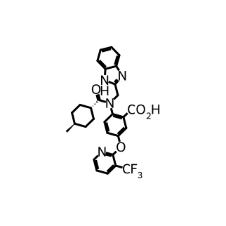 C[C@H]1CC[C@H](C(=O)N(Cc2nc3ccccc3[nH]2)c2ccc(Oc3ncccc3C(F)(F)F)cc2C(=O)O)CC1